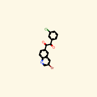 O=C(C(=O)c1ccc2ncc(Br)cc2c1)c1cccc(Cl)c1